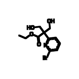 CCOC(=O)C(CO)(CO)c1cccc(Br)n1